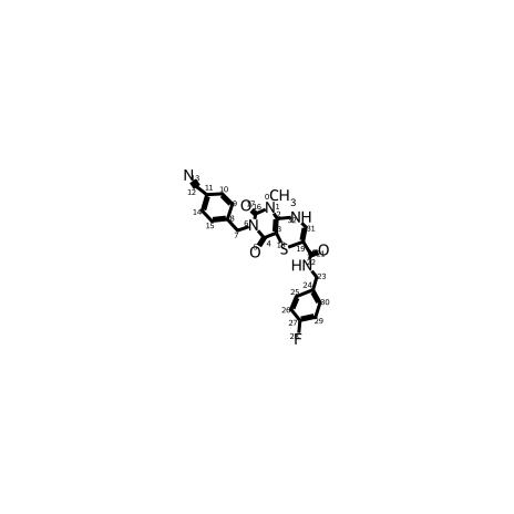 Cn1c2c(c(=O)n(Cc3ccc(C#N)cc3)c1=O)SC(C(=O)NCc1ccc(F)cc1)=CN2